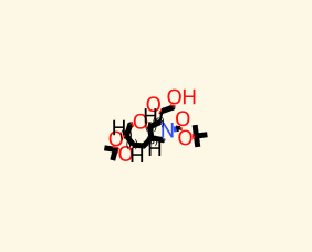 CC(C)(C)OC(=O)N1C[C@@H]2C[C@H]3OC(C)(C)O[C@H]3CO[C@H]2[C@H]1C(=O)CO